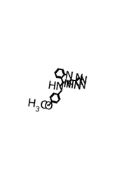 COc1ccc(CNc2nc(-c3nnn[nH]3)nc3ccccc23)cc1